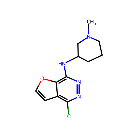 CN1CCCC(Nc2nnc(Cl)c3ccoc23)C1